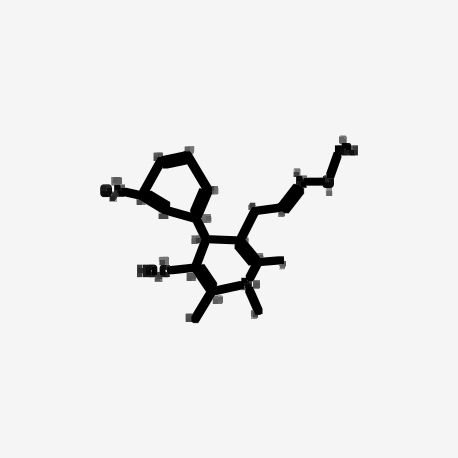 CCCCON=CCC1=C(C)N(C)C(C)=C(C(=O)O)C1c1cccc([N+](=O)[O-])c1